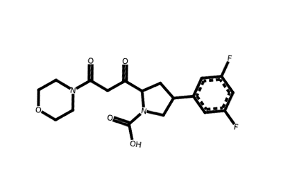 O=C(CC(=O)N1CCOCC1)C1CC(c2cc(F)cc(F)c2)CN1C(=O)O